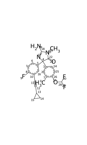 Cc1cc(C2(c3ccc(F)c(C#CC4CC4)c3)N=C(N)N(C)C2=O)ccc1OC(F)F